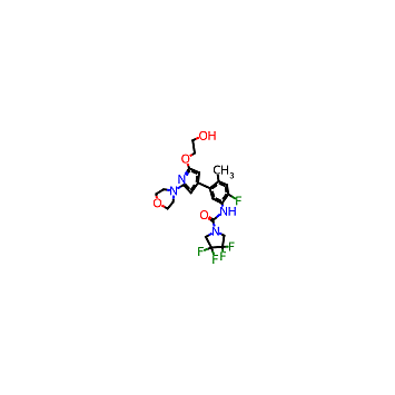 Cc1cc(F)c(NC(=O)N2CC(F)(F)C(F)(F)C2)cc1-c1cc(OCCO)nc(N2CCOCC2)c1